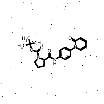 CC(C)(C)OC(=O)N1CCCC1C(=O)Nc1ccc(-n2ccccc2=O)cc1